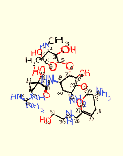 CN[C@@H]1[C@@H](O)[C@@H](O[C@H]2[C@H](NC(=O)C3(O)CC3NC(=N)N)C[C@H](N)C(O[C@H]3OC(CNCCO)=CC[C@H]3N)[C@@H]2O)OC[C@]1(C)O